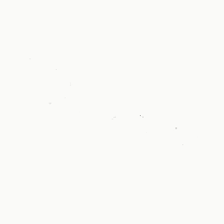 O=C1C(=Cc2ccc(N3c4ccccc4[Si]4(CCC4)c4ccccc43)[se]2)C(=O)c2c[se]cc21